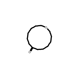 O=C1CCCCCCOCCCCCC1